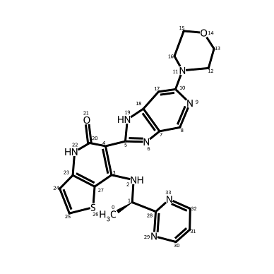 C[C@@H](Nc1c(-c2nc3cnc(N4CCOCC4)cc3[nH]2)c(=O)[nH]c2ccsc12)c1ncccn1